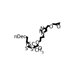 CCCCCCCCCCCCSC(=S)SC(C)(C)C(=O)OCCCn1cc(COCC2CO2)nn1